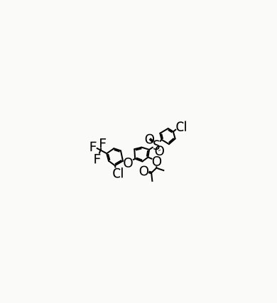 CC(=O)C(C)Oc1cc(Oc2ccc(C(F)(F)F)cc2Cl)ccc1S(=O)(=O)c1ccc(Cl)cc1